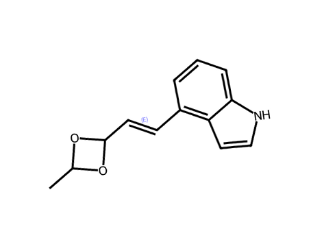 CC1OC(/C=C/c2cccc3[nH]ccc23)O1